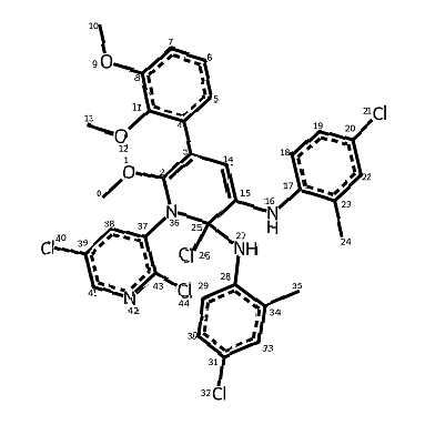 COC1=C(c2cccc(OC)c2OC)[C]=C(Nc2ccc(Cl)cc2C)C(Cl)(Nc2ccc(Cl)cc2C)N1c1cc(Cl)cnc1Cl